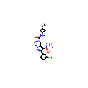 N#CB1CC(NC(=O)N2CCn3nc(-c4ccc(F)c(Cl)c4)c(C(N)=O)c3C2)C1